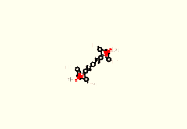 CC(C)(C)c1ccc2c(c1)c1cc(C(C)(C)C)ccc1n2-c1cc2c(cc1-n1c3ccc(C(C)(C)C)cc3c3cc(C(C)(C)C)ccc31)C(=O)N(C1CCC(N3C(=O)c4cc(-n5c6ccc(C(C)(C)C)cc6c6cc(C(C)(C)C)ccc65)c(-n5c6ccc(C(C)(C)C)cc6c6cc(C(C)(C)C)ccc65)cc4C3=O)CC1)C2=O